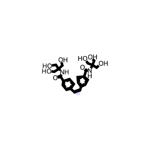 O=C(NC(CO)(CO)CO)c1ccc(/C=C\c2ccc(C(=O)NC(CO)(CO)CO)cc2)cc1